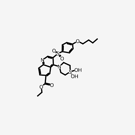 CCCCOc1ccc(S(=O)(=O)c2cnc3ccc(C(=O)OCC)cc3c2N2CCS(O)(O)CC2)cc1